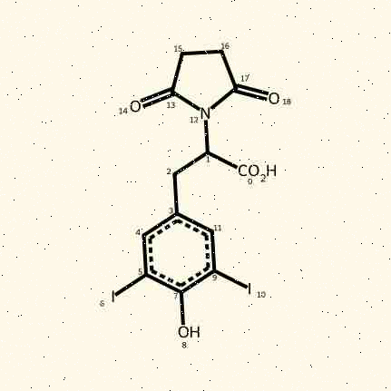 O=C(O)C(Cc1cc(I)c(O)c(I)c1)N1C(=O)CCC1=O